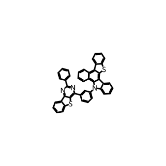 c1ccc(-c2nc(-c3cccc(-n4c5ccccc5c5c6sc7ccccc7c6c6ccccc6c54)c3)c3sc4ccccc4c3n2)cc1